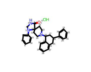 Cl.O=C1NCN(c2ccccc2)C12CCN(C1CC(c3ccccc3)Cc3ccccc31)CC2